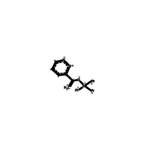 C=C(O[Si](C(C)C)(C(C)C)C(C)C)c1cccnn1